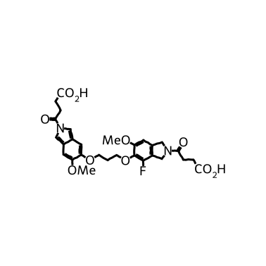 COc1cc2cn(C(=O)CCC(=O)O)cc2cc1OCCCOc1c(OC)cc2c(c1F)CN(C(=O)CCC(=O)O)C2